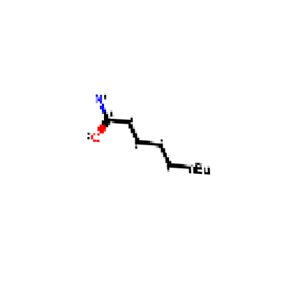 [CH2]CCCCCCCC([N])=O